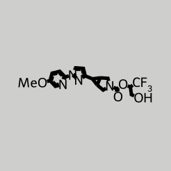 COc1ccc(-n2ccc(C3C4CN(C(=O)OC(CO)C(F)(F)F)CC43)n2)nc1